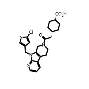 O=C(C[C@H]1CC[C@@H](C(=O)O)CC1)N1CCc2c(n(Cc3csc(Cl)c3)c3ncccc23)C1